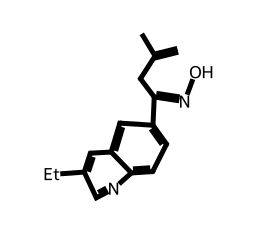 C=C(C)C/C(=N\O)c1ccc2ncc(CC)cc2c1